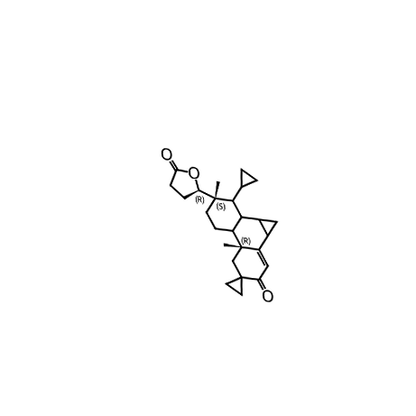 C[C@]12CC3(CC3)C(=O)C=C1C1CC1C1C2CC[C@](C)([C@H]2CCC(=O)O2)C1C1CC1